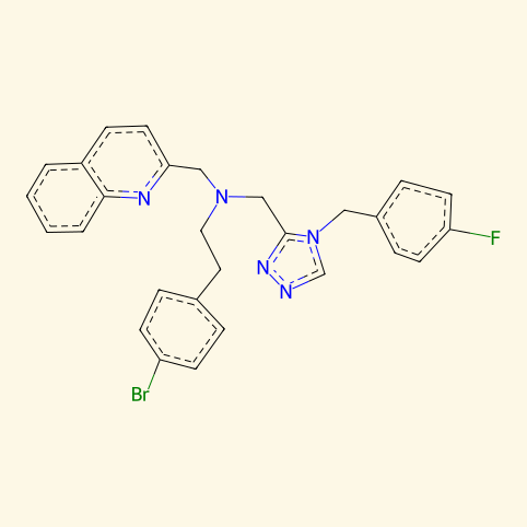 Fc1ccc(Cn2cnnc2CN(CCc2ccc(Br)cc2)Cc2ccc3ccccc3n2)cc1